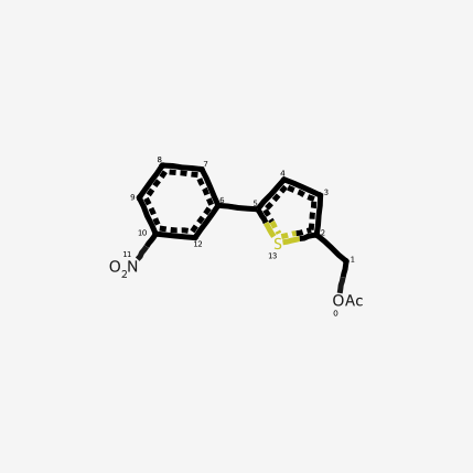 CC(=O)OCc1ccc(-c2cccc([N+](=O)[O-])c2)s1